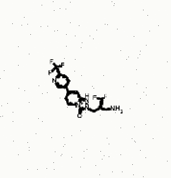 NCC(Cn1[nH]c2cc(-c3ccc(C(F)(F)F)nc3)cc[n+]2c1=O)=C(F)F